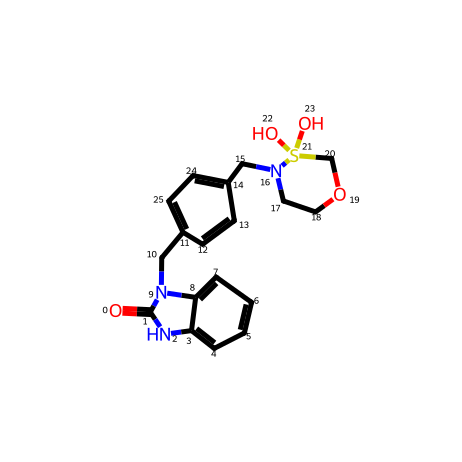 O=c1[nH]c2ccccc2n1Cc1ccc(CN2CCOCS2(O)O)cc1